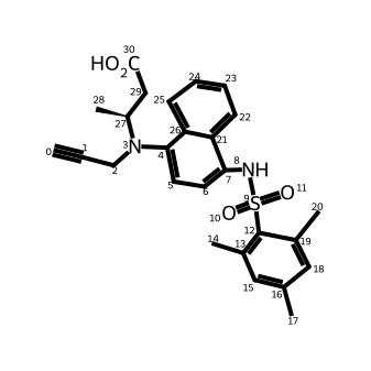 C#CCN(c1ccc(NS(=O)(=O)c2c(C)cc(C)cc2C)c2ccccc12)[C@@H](C)CC(=O)O